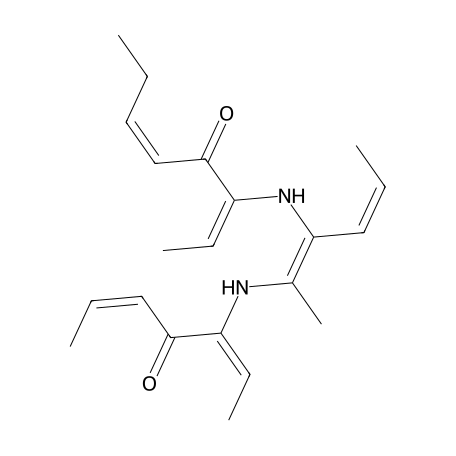 C/C=C\C(=O)/C(=C\C)N/C(C)=C(/C=C\C)N/C(=C/C)C(=O)/C=C\CC